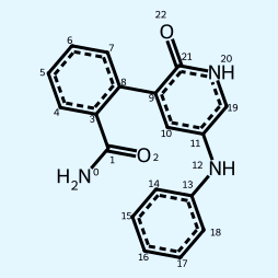 NC(=O)c1ccccc1-c1cc(Nc2ccccc2)c[nH]c1=O